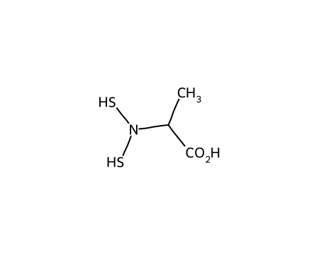 CC(C(=O)O)N(S)S